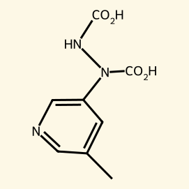 Cc1cncc(N(NC(=O)O)C(=O)O)c1